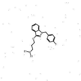 CCN(CC)CCCOc1nn(Cc2ccc(F)cc2)c2ccccc12